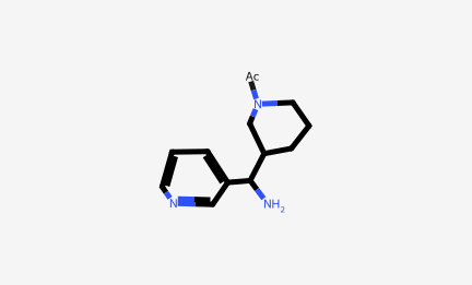 CC(=O)N1CCCC(C(N)c2cccnc2)C1